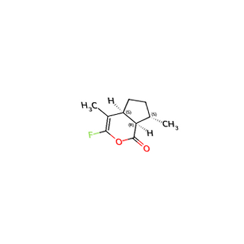 CC1=C(F)OC(=O)[C@H]2[C@@H]1CC[C@@H]2C